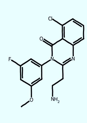 COc1cc(F)cc(-n2c(CCN)nc3cccc(Cl)c3c2=O)c1